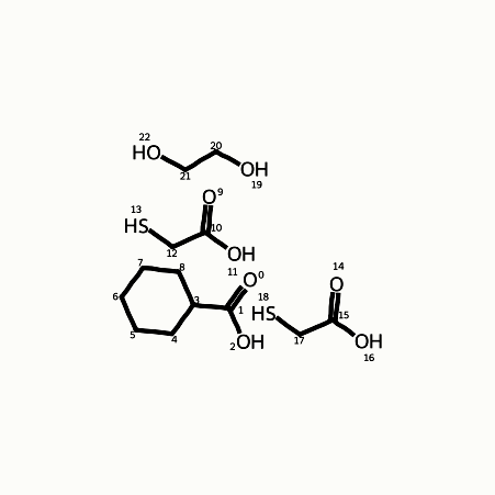 O=C(O)C1CCCCC1.O=C(O)CS.O=C(O)CS.OCCO